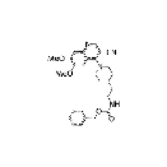 COc1cc2ncc(C#N)c(N3CCC(CCNC(=O)OCc4ccccc4)CC3)c2cc1OC